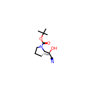 CC(C)(C)OC(=O)N1CCC[C@H]1[C@@H](O)C#N